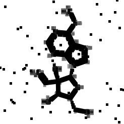 C=C[C@@]1(O)[C@H](O)[C@@H](CO)O[C@H]1n1cnc2c(SC)ncnc21